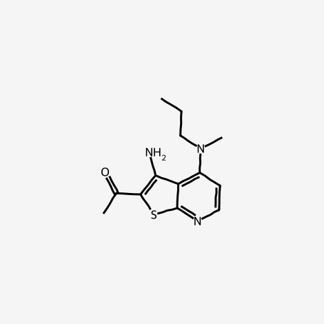 CCCN(C)c1ccnc2sc(C(C)=O)c(N)c12